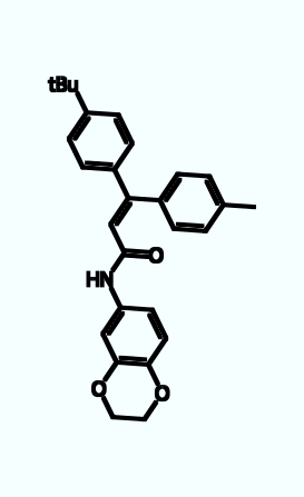 Cc1ccc(/C(=C\C(=O)Nc2ccc3c(c2)OCCO3)c2ccc(C(C)(C)C)cc2)cc1